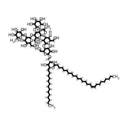 CCCCCCCC/C=C\CCCCCCCCCCCCCCCC(=O)N[C@@H](CO[C@@H]1OC(CO)[C@@H](O[C@@H]2OC(CO)[C@H](O)[C@H](O[C@@H]3OC(CO)[C@@H](O[C@@H]4OC(CO)[C@H](O)[C@H](O)C4O[C@H]4OC(C)[C@@H](O)C(O)[C@@H]4O)[C@H](O[C@H]4OC(C)[C@@H](O)C(O)[C@@H]4O)C3NC(C)=O)C2O)[C@H](O)C1O)[C@H](O)/C=C/CCCCCCCCCCCCC